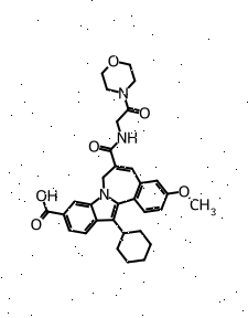 COc1ccc2c(c1)C=C(C(=O)NCC(=O)N1CCOCC1)Cn1c-2c(C2CCCCC2)c2ccc(C(=O)O)cc21